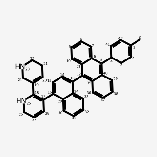 CC1=CCC(c2c3ccccc3c(-c3ccc(C4=C(C5=CCCNC5)NCC=C4)c4ccccc34)c3ccccc23)C=C1